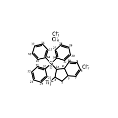 [Cl-].[Cl-].[Cl-].[Ti+3][CH]1CC2C=CC=CC2C1[Si](c1ccccc1)(c1ccccc1)c1ccccc1